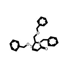 O=C1C=C[C@H](OCc2ccccc2)C(COCc2ccccc2)N1Cc1ccccc1